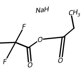 CCC(=O)OC(=O)C(F)(F)F.[NaH]